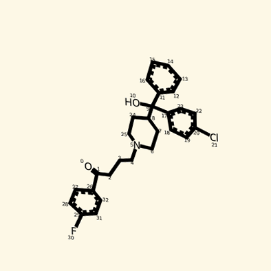 O=C(CCCN1CCC(C(O)(c2ccccc2)c2ccc(Cl)cc2)CC1)c1ccc(F)cc1